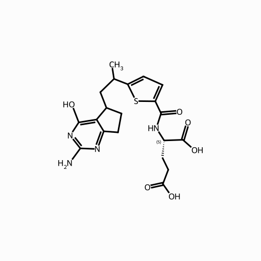 CC(CC1CCc2nc(N)nc(O)c21)c1ccc(C(=O)N[C@@H](CCC(=O)O)C(=O)O)s1